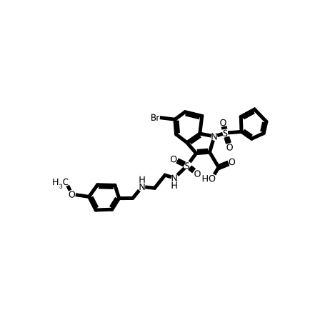 COc1ccc(CNCCNS(=O)(=O)c2c(C(=O)O)n(S(=O)(=O)c3ccccc3)c3ccc(Br)cc23)cc1